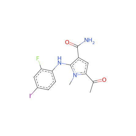 CC(=O)c1cc(C(N)=O)c(Nc2ccc(I)cc2F)n1C